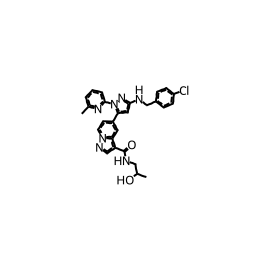 Cc1cccc(-n2nc(NCc3ccc(Cl)cc3)cc2-c2ccn3ncc(C(=O)NCC(C)O)c3c2)n1